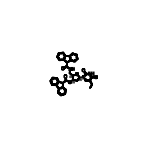 CCc1cn([C@H]2C[C@H](OC(=O)C3c4ccccc4-c4ccccc43)[C@@H](CNC(=O)C3c4ccccc4-c4ccccc43)O2)c(=O)[nH]c1=O